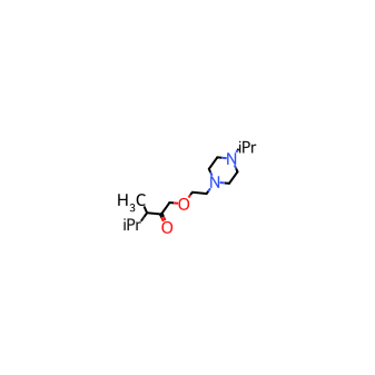 CC(C)C(C)C(=O)COCCN1CCN(C(C)C)CC1